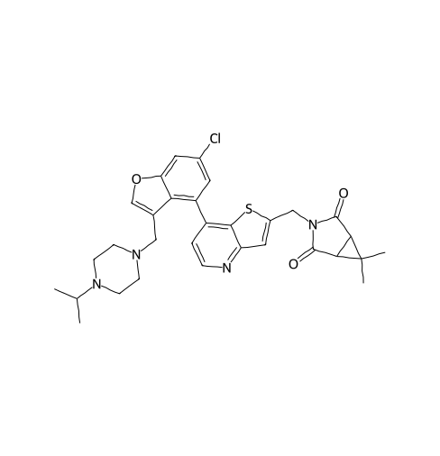 CC(C)N1CCN(Cc2coc3cc(Cl)cc(-c4ccnc5cc(CN6C(=O)C7C(C6=O)C7(C)C)sc45)c23)CC1